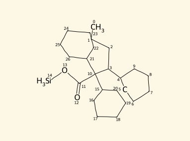 CCCC(C1CCCCC1)C(C(=O)O[SiH3])(C1CCCCC1)C1CCCCC1